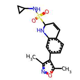 Cc1noc(C)c1-c1ccc2c(c1)NC(S(=O)(=O)NC1CC1)C=C2